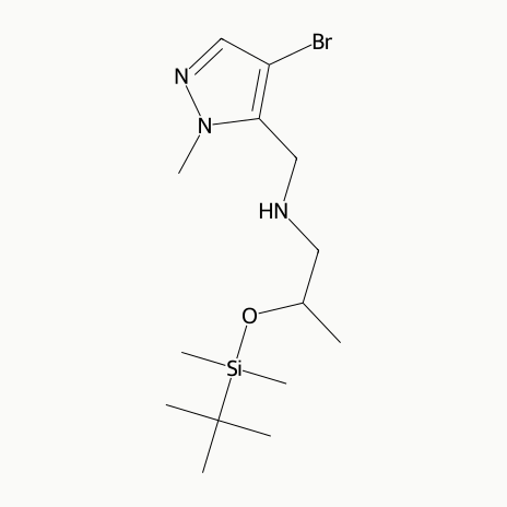 CC(CNCc1c(Br)cnn1C)O[Si](C)(C)C(C)(C)C